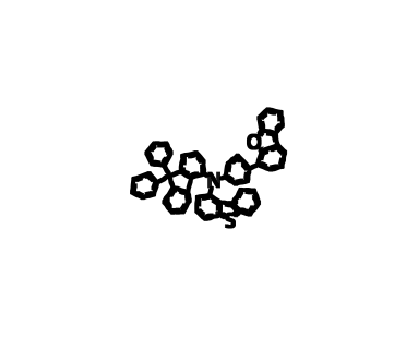 c1ccc(C2(c3ccccc3)c3ccccc3-c3c(N(c4ccc(-c5cccc6c5oc5ccccc56)cc4)c4cccc5sc6ccccc6c45)cccc32)cc1